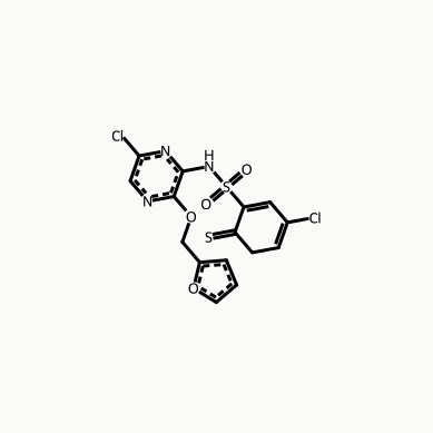 O=S(=O)(Nc1nc(Cl)cnc1OCc1ccco1)C1=CC(Cl)=CCC1=S